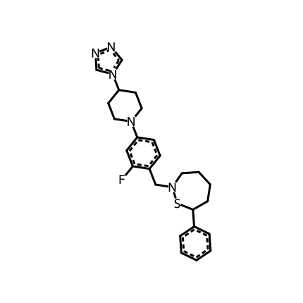 Fc1cc(N2CCC(n3cnnc3)CC2)ccc1CN1CCCCC(c2ccccc2)S1